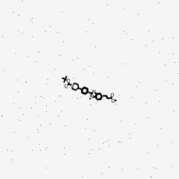 COC(=O)C=Cc1ccc2c(c1)nc(-c1ccc(C3CCN(C(=O)OC(C)(C)C)CC3)cc1)n2C